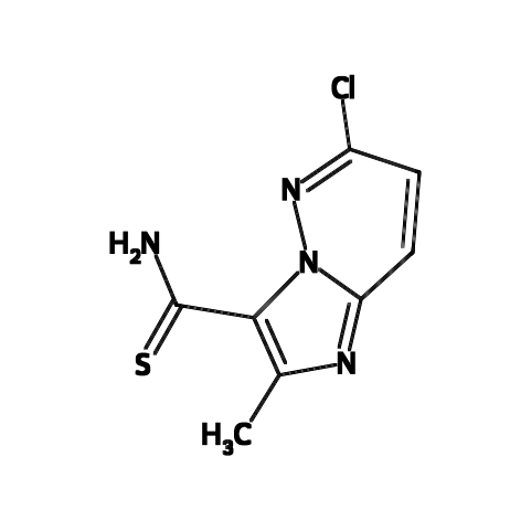 Cc1nc2ccc(Cl)nn2c1C(N)=S